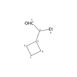 CCC([C]=O)C1CCC1